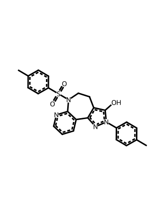 Cc1ccc(-n2nc3c(c2O)CCN(S(=O)(=O)c2ccc(C)cc2)c2ncccc2-3)cc1